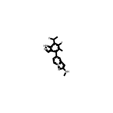 CNc1cc2cc(-c3c(C)c(F)c(C(C)F)c4[nH]ncc34)ccn2n1